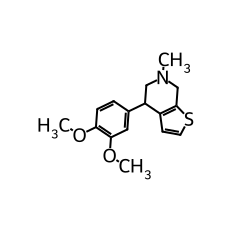 COc1ccc(C2CN(C)Cc3sccc32)cc1OC